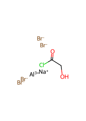 O=C(Cl)CO.[Al+3].[Br-].[Br-].[Br-].[Br-].[Na+]